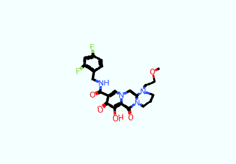 COCCN1CCCN2C(=O)c3c(O)c(=O)c(C(=O)NCc4ccc(F)cc4F)cn3CC12